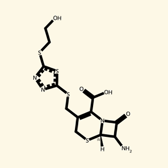 NC1C(=O)N2C(C(=O)O)=C(CSc3nnc(SCCO)s3)CS[C@@H]12